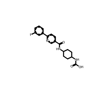 O=C(O)NC1CCC(NC(=O)c2ccc(-c3cccc(F)c3)nc2)CC1